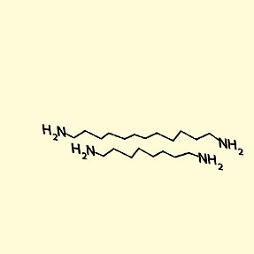 NCCCCCCCCCCCCN.NCCCCCCCCN